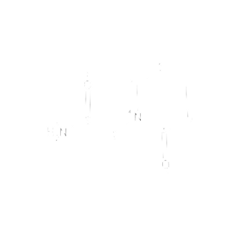 NC(=O)CN1CCC[CH]C1=O